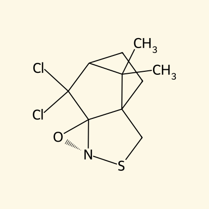 CC1(C)C2CCC13CS[N@]1OC13C2(Cl)Cl